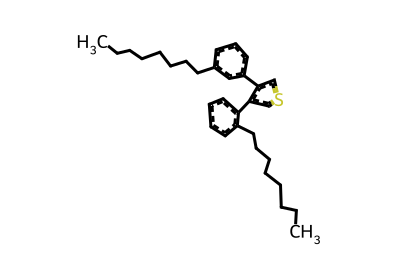 CCCCCCCCc1cccc(-c2cscc2-c2ccccc2CCCCCCCC)c1